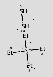 CC[N+](CC)(CC)CC.SS